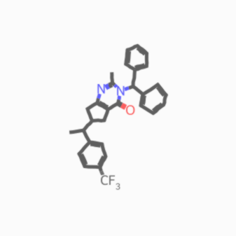 Cc1nc2c(c(=O)n1C(c1ccccc1)c1ccccc1)CC(C(C)c1ccc(C(F)(F)F)cc1)C2